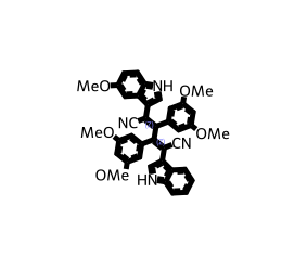 COc1cc(OC)cc(C(/C(=C(\C#N)c2c[nH]c3ccc(OC)cc23)c2cc(OC)cc(OC)c2)=C(/C#N)c2c[nH]c3ccccc23)c1